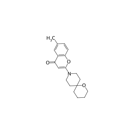 Cc1ccc2oc(N3CCC4(CCCCO4)CC3)cc(=O)c2c1